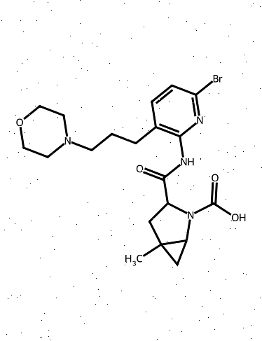 CC12CC(C(=O)Nc3nc(Br)ccc3CCCN3CCOCC3)N(C(=O)O)C1C2